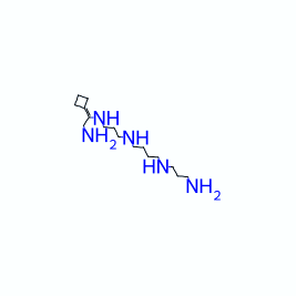 NCCCNCCCCNCCCNC(CN)=C1CCC1